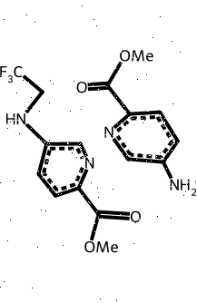 COC(=O)c1ccc(N)cn1.COC(=O)c1ccc(NCC(F)(F)F)cn1